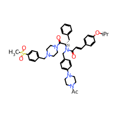 CC(=O)N1CCN(c2ccc(CN(C(=O)C=Cc3ccc(OC(C)C)cc3)[C@@H](Cc3ccccc3)C(=O)N3CCN(Cc4ccc(S(C)(=O)=O)cc4)CC3)cc2)CC1